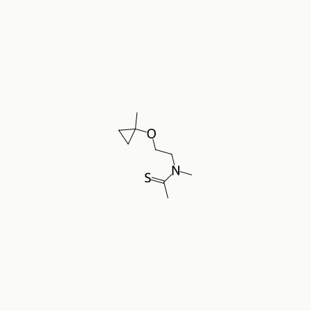 CC(=S)N(C)CCOC1(C)CC1